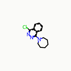 Clc1nnc(N2CCCCCC2)c2ccccc12